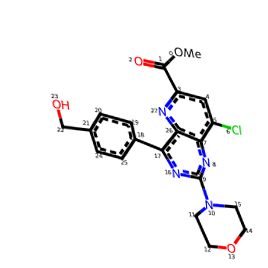 COC(=O)c1cc(Cl)c2nc(N3CCOCC3)nc(-c3ccc(CO)cc3)c2n1